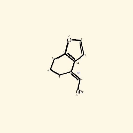 CCC/C=C1\CCCc2occc21